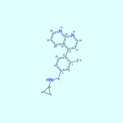 Fc1cc(CNC2CC2)ccc1-c1ccnc2ncccc12